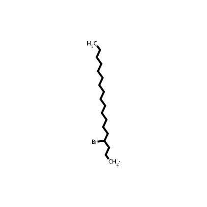 [CH2]CCC(Br)CCCCCCCCCCCCCC